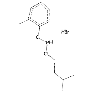 Br.Cc1ccccc1OPOCCC(C)C